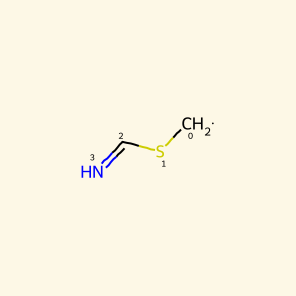 [CH2]SC=N